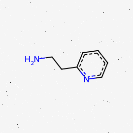 NCCc1[c]cccn1